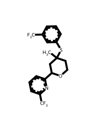 CC1(Sc2cccc(C(F)(F)F)c2)CCOC(c2cccc(C(F)(F)F)n2)C1